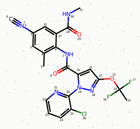 [C-]#[N+]c1cc(C)c(NC(=O)c2cc(OC(C)(F)F)nn2-c2ncccc2Cl)c(C(=O)NC)c1